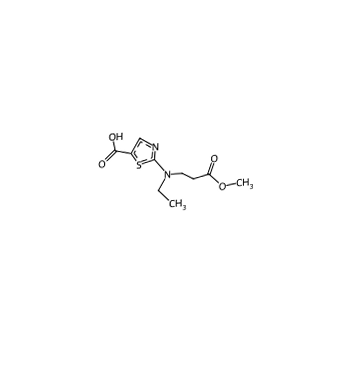 CCN(CCC(=O)OC)c1ncc(C(=O)O)s1